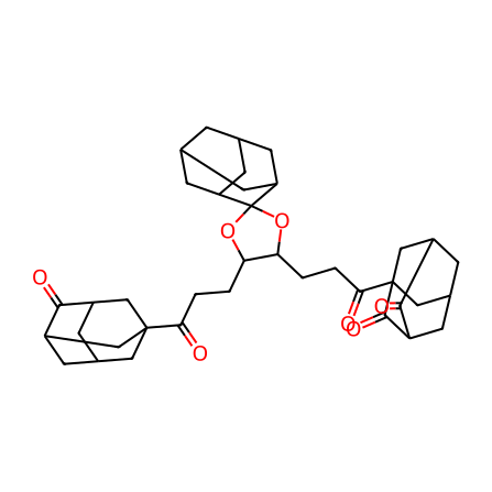 O=C1C2CC3CC1CC(C(=O)CCC1OC4(OC1CCC(=O)C15CC6CC(C1)C(=O)C(C6)C5=O)C1CC5CC(C1)CC4C5)(C3)C2